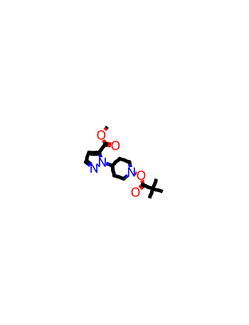 COC(=O)c1ccnn1C1CCN(OC(=O)C(C)(C)C)CC1